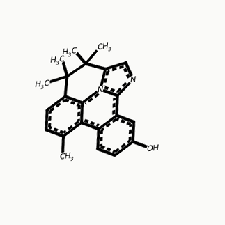 Cc1ccc2c3c1c1ccc(O)cc1c1ncc(n13)C(C)(C)C2(C)C